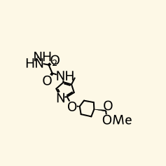 COC(=O)[C@H]1CC[C@@H](Oc2cc(C)c(NC(=O)C(=O)NN)cn2)CC1